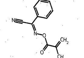 C=C(C)C(=O)O/N=C(/C#N)c1ccccc1